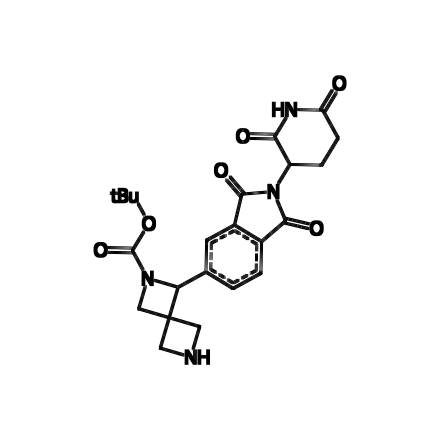 CC(C)(C)OC(=O)N1CC2(CNC2)C1c1ccc2c(c1)C(=O)N(C1CCC(=O)NC1=O)C2=O